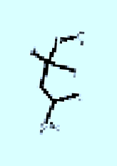 CC(=O)OC(C)CC(C)(C)OO